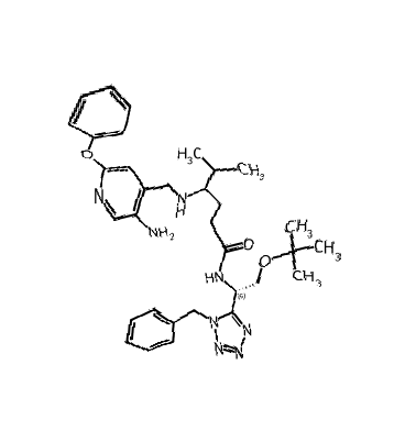 CC(C)C(CCC(=O)N[C@H](COC(C)(C)C)c1nnnn1Cc1ccccc1)NCc1cc(Oc2ccccc2)ncc1N